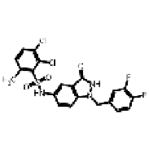 Cc1ccc(Cl)c(Cl)c1S(=O)(=O)Nc1ccc2c(c1)c(=O)[nH]n2Cc1ccc(F)c(F)c1